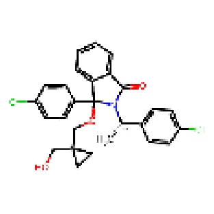 C[C@@H](c1ccc(Cl)cc1)N1C(=O)c2ccccc2C1(OCC1(CO)CC1)c1ccc(Cl)cc1